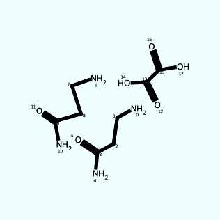 NCCC(N)=O.NCCC(N)=O.O=C(O)C(=O)O